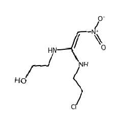 O=[N+]([O-])C=C(NCCO)NCCCl